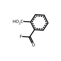 O=C(O)c1ccccc1C(=O)F